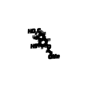 COCCOc1cc(S)c2c(c1)cc(C(=O)O)n2C